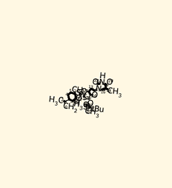 C=C(C)[C@H]1CC[C@@]2(C)SP(=S)(O[C@H]3C[C@H](n4cc(C)c(=O)[nH]c4=O)O[C@@H]3CO[Si](C)(C)C(C)(C)C)O[C@@H]2C1